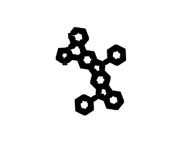 c1ccc(-n2c3ccccc3c3cc4c(cc32)c2cc3c(cc2n4-c2ccccc2)c2cccnc2n2ccnc32)cc1